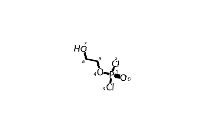 O=P(Cl)(Cl)OCCO